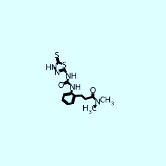 CN(C)C(=O)CCc1ccccc1NC(=O)Nc1n[nH]c(=S)s1